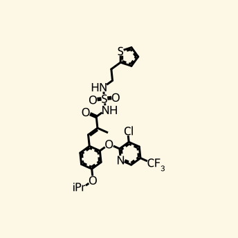 CC(=Cc1ccc(OC(C)C)cc1Oc1ncc(C(F)(F)F)cc1Cl)C(=O)NS(=O)(=O)NCCc1cccs1